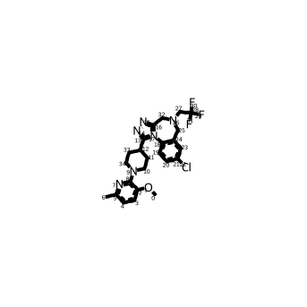 COc1ccc(C)nc1N1CCC(c2nnc3n2-c2ccc(Cl)cc2CN(CC(F)(F)F)C3)CC1